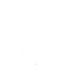 CC(C)(C)OC(=O)C(c1cc(F)cc2c1C(C)(C)OC2)N1CC(OCCCCCc2ccc3c(n2)NCCC3)C1